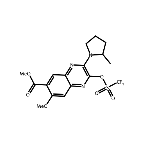 COC(=O)c1cc2nc(N3CCCC3C)c(OS(=O)(=O)C(F)(F)F)nc2cc1OC